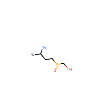 N#CC(N)CC[PH](=O)CO